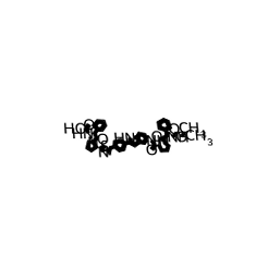 CC(C)OC(=O)N[C@@H](C(=O)N1CCC[C@H]1C(=O)Nc1ccc2[nH]c(-c3ccc(-c4cnc([C@@H]5CCCN5C(=O)[C@H](NC(=O)O)c5ccccc5)s4)cc3)cc2c1)c1ccccc1